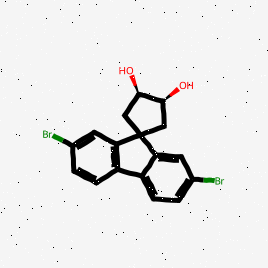 O[C@@H]1CC2(C[C@@H]1O)c1cc(Br)ccc1-c1ccc(Br)cc12